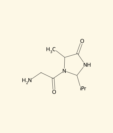 CC(C)C1NC(=O)C(C)N1C(=O)CN